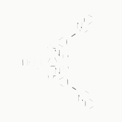 O=C(O)c1cc(N2C(=O)c3ccc(C#Cc4ccc5ccccc5n4)cc3C2=O)cc(N2C(=O)c3ccc(C#Cc4ccc5ccccc5n4)cc3C2=O)c1